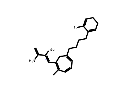 C=C(N)/C(=C/C1=C(C)C=CC=C(CCCCC2=CCCC=C2CC)C1)CCCC